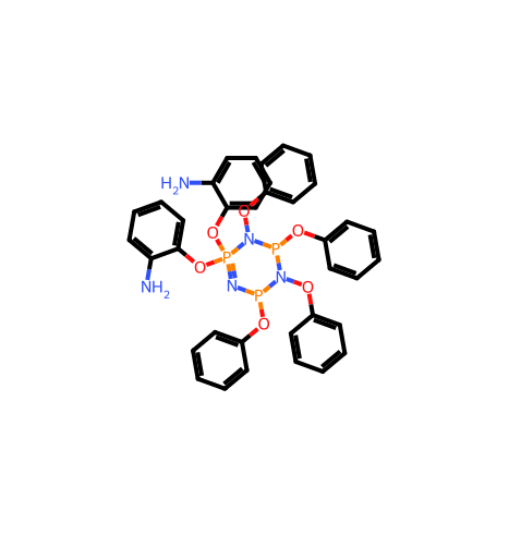 Nc1ccccc1OP1(Oc2ccccc2N)=NP(Oc2ccccc2)N(Oc2ccccc2)P(Oc2ccccc2)N1Oc1ccccc1